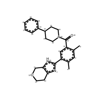 Cc1cc(C)c(-c2nc3c([nH]2)COCC3)cc1C(=O)N1CCC(c2ccccc2)CC1